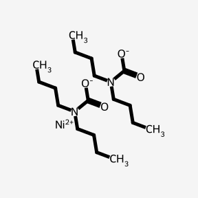 CCCCN(CCCC)C(=O)[O-].CCCCN(CCCC)C(=O)[O-].[Ni+2]